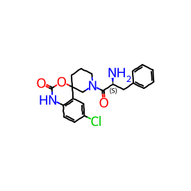 N[C@@H](Cc1ccccc1)C(=O)N1CCCC2(C1)OC(=O)Nc1ccc(Cl)cc12